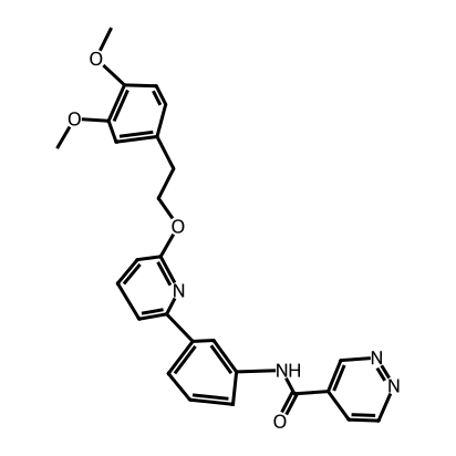 COc1ccc(CCOc2cccc(-c3cccc(NC(=O)c4ccnnc4)c3)n2)cc1OC